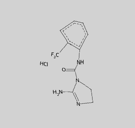 Cl.NC1=NCCN1C(=O)Nc1ccccc1C(F)(F)F